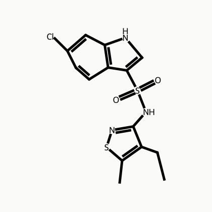 CCc1c(NS(=O)(=O)c2c[nH]c3cc(Cl)ccc23)nsc1C